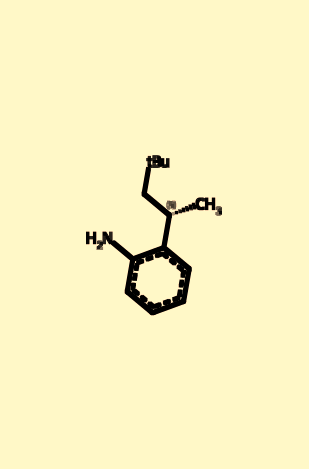 C[C@@H](CC(C)(C)C)c1ccccc1N